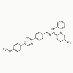 CC1CS/C(=N\N=C\c2ccc(C(=N)/N=C\Nc3ccc(OC(F)(F)F)cc3)cc2)N(c2ccccc2C(C)C)C1